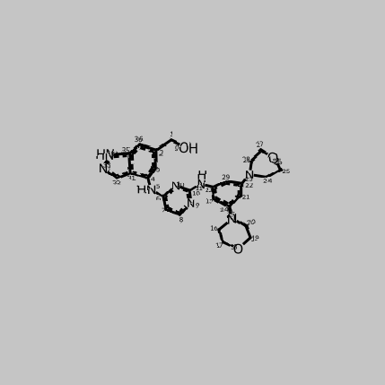 OCc1cc(Nc2ccnc(Nc3cc(N4CCOCC4)cc(N4CCOCC4)c3)n2)c2cn[nH]c2c1